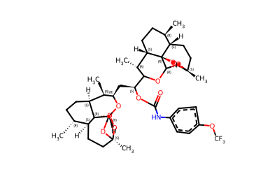 C[C@H]1[C@@H](C[C@H](OC(=O)Nc2ccc(OC(F)(F)F)cc2)C2O[C@@H]3O[C@]4(C)CC[C@H]5[C@H](C)CC[C@@H]([C@H]2C)[C@@]35OO4)O[C@@H]2O[C@]3(C)CC[C@H]4[C@H](C)CC[C@@H]1[C@@]24OO3